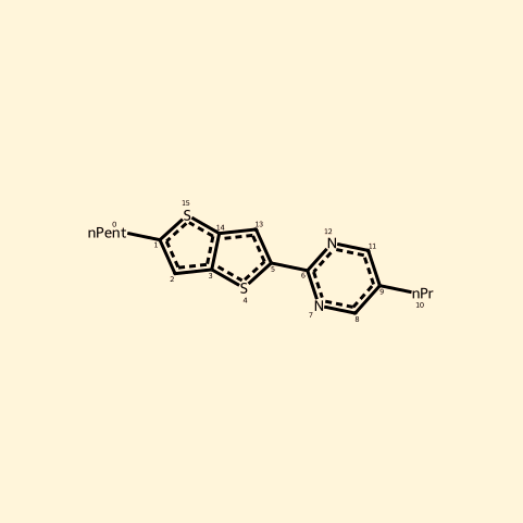 CCCCCc1cc2sc(-c3ncc(CCC)cn3)cc2s1